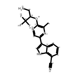 Cc1nc(-c2c[nH]c3c(C#N)cccc23)cnc1OC(CN)C(F)(F)F